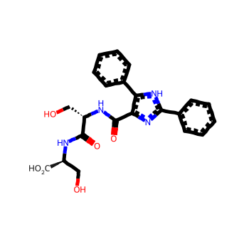 O=C(N[C@@H](CO)C(=O)N[C@@H](CO)C(=O)O)c1nc(-c2ccccc2)[nH]c1-c1ccccc1